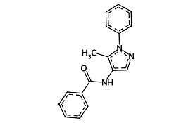 Cc1c(NC(=O)c2ccccc2)cnn1-c1ccccc1